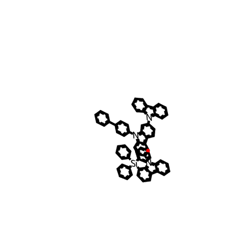 c1ccc(-c2ccc(-n3c4ccc(-n5c6ccccc6c6cccc([Si](c7ccccc7)(c7ccccc7)c7ccccc7)c65)cc4c4ccc(-n5c6ccccc6c6ccccc65)cc43)cc2)cc1